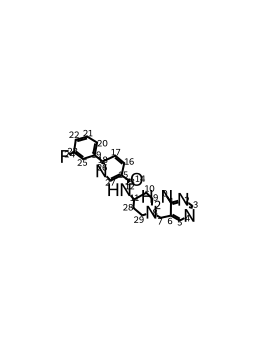 Nc1ncncc1CN1CCC(NC(=O)c2ccc(-c3cccc(F)c3)nc2)CC1